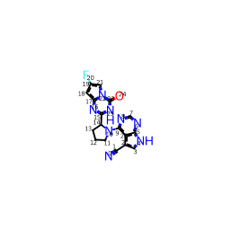 N#Cc1c[nH]c2ncnc(N3CCCC3c3nc4cc(F)cn4c(=O)[nH]3)c12